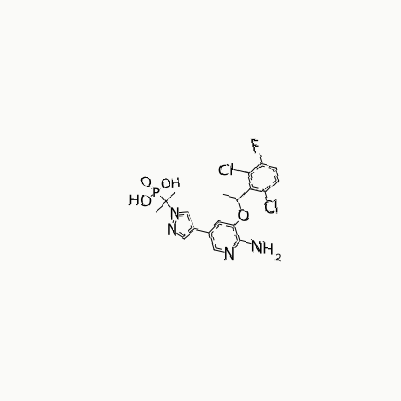 CC(Oc1cc(-c2cnn(C(C)(C)P(=O)(O)O)c2)cnc1N)c1c(Cl)ccc(F)c1Cl